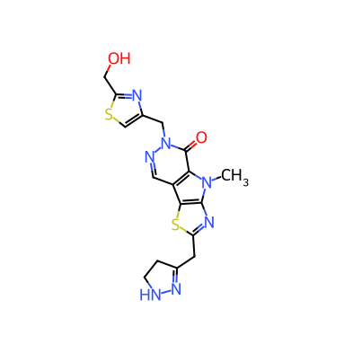 Cn1c2nc(CC3=NNCC3)sc2c2cnn(Cc3csc(CO)n3)c(=O)c21